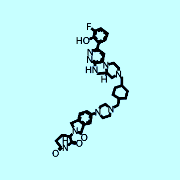 O=C1CCC(N2Cc3ccc(N4CCN(CC5CCC(CN6CCN7c8cc(-c9cccc(F)c9O)nnc8NC[C@H]7C6)CC5)CC4)cc3C2=O)C(=O)N1